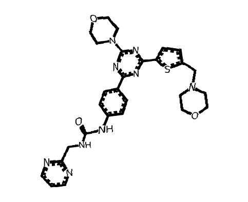 O=C(NCc1ncccn1)Nc1ccc(-c2nc(-c3ccc(CN4CCOCC4)s3)nc(N3CCOCC3)n2)cc1